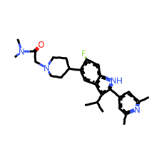 Cc1cc(-c2[nH]c3cc(F)c(C4CCN(CC(=O)N(C)C)CC4)cc3c2C(C)C)cc(C)n1